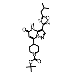 CC(C)Cc1nc(-c2cnn3c(C4CCN(C(=O)OC(C)(C)C)CC4)cc(=O)[nH]c23)no1